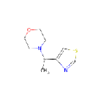 C[C](c1cscn1)N1CCOCC1